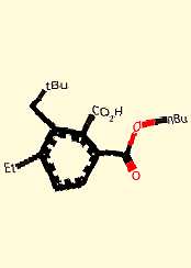 CCCCOC(=O)c1ccc(CC)c(CC(C)(C)C)c1C(=O)O